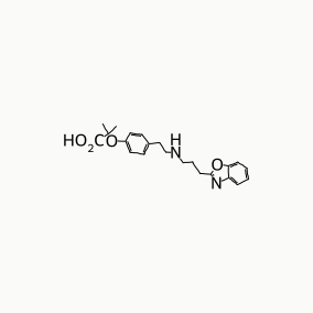 CC(C)(Oc1ccc(CCNCCCc2nc3ccccc3o2)cc1)C(=O)O